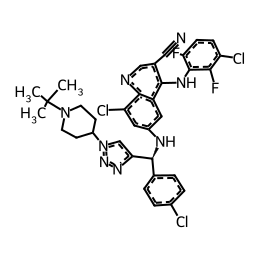 CC(C)(C)N1CCC(n2cc([C@@H](Nc3cc(Cl)c4ncc(C#N)c(Nc5c(F)ccc(Cl)c5F)c4c3)c3ccc(Cl)cc3)nn2)CC1